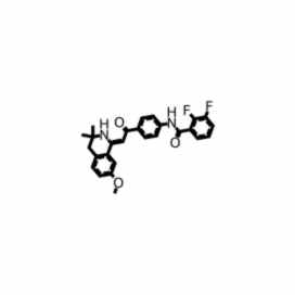 COc1ccc2c(c1)C(=CC(=O)c1ccc(NC(=O)c3cccc(F)c3F)cc1)NC(C)(C)C2